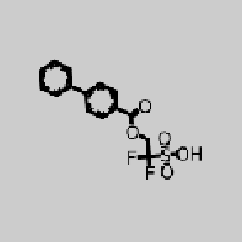 O=C(OCC(F)(F)S(=O)(=O)O)c1ccc(-c2ccccc2)cc1